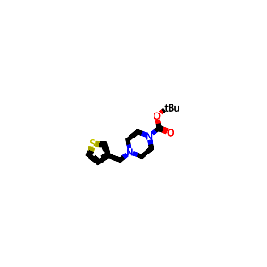 CC(C)(C)OC(=O)N1CCN(Cc2ccsc2)CC1